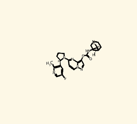 Cc1ncc(F)cc1[C@H]1CCCN1c1ccn2ncc(OC(=O)N[C@H]3CN4CCC3CC4)c2n1